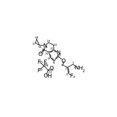 NC/C(=C\F)COc1ccc2c(n1)CCN(C1CC1)C2=O.O=C(O)C(F)(F)F